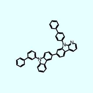 c1ccc(-c2ccc(-n3c4cc(-c5ccc6c(c5)c5ccccc5n6-c5cccc(-c6ccccc6)c5)ccc4c4cccnc43)cc2)cc1